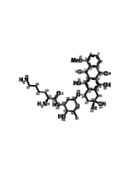 COc1cccc2c1C(=O)c1c(O)c3c(c(O)c1C2=O)C[C@@](O)(C(C)=O)C[C@@H]3OC1CC(NC(=O)[C@@H](N)CCCCN)C(O)C(C)O1